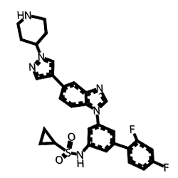 O=S(=O)(Nc1cc(-c2ccc(F)cc2F)cc(-n2cnc3cc(-c4cnn(C5CCNCC5)c4)ccc32)c1)C1CC1